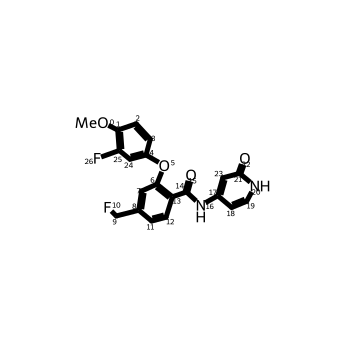 COc1ccc(Oc2cc(CF)ccc2C(=O)Nc2cc[nH]c(=O)c2)cc1F